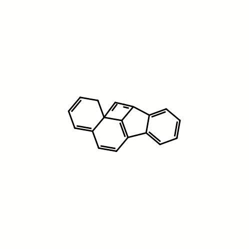 C1=CCC23C=CC=C4C2=C(C=CC3=C1)c1ccccc14